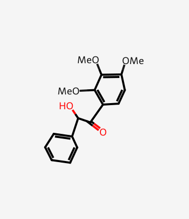 COc1ccc(C(=O)C(O)c2ccccc2)c(OC)c1OC